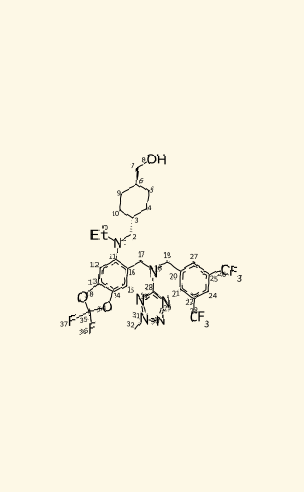 CCN(C[C@H]1CC[C@H](CO)CC1)c1cc2c(cc1CN(Cc1cc(C(F)(F)F)cc(C(F)(F)F)c1)c1nnn(C)n1)OC(F)(F)O2